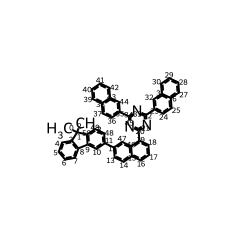 CC1(C)c2ccccc2-c2cc(-c3ccc4cccc(-c5nc(-c6ccc7ccccc7c6)nc(-c6ccc7ccccc7c6)n5)c4c3)ccc21